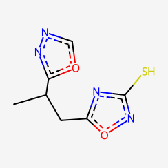 CC(Cc1nc(S)no1)c1nnco1